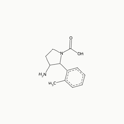 Cc1ccccc1C1C(N)CCN1C(=O)O